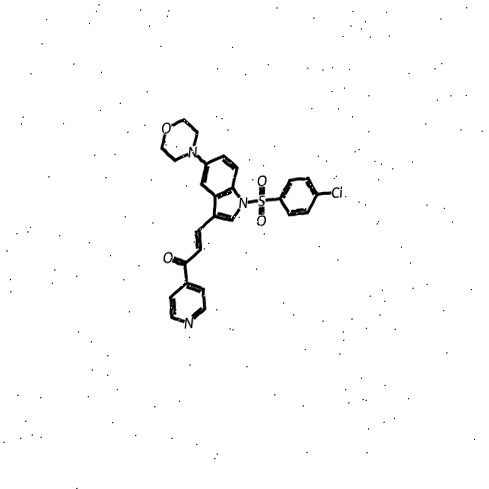 O=C(/C=C/c1cn(S(=O)(=O)c2ccc(Cl)cc2)c2ccc(N3CCOCC3)cc12)c1ccncc1